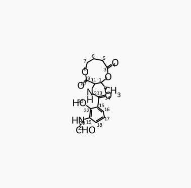 CC1OC(=O)CCCOC(=O)C1NC(=O)c1cccc(NC=O)c1O